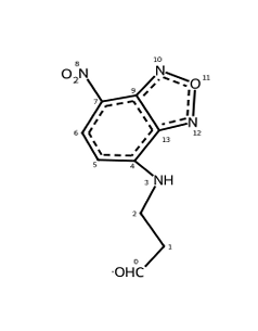 O=[C]CCNc1ccc([N+](=O)[O-])c2nonc12